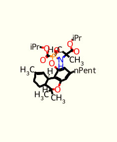 CCCCCc1cc2c(c(OP(=O)(NC(C)(C)C(=O)OC(C)C)C(=O)OC(C)C)c1)[C@@H]1C=C(C)CC[C@H]1C(C)(C)O2